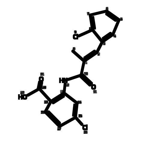 C/C(=C\c1ccccc1Cl)C(=O)Nc1cc(Cl)ccc1C(=O)O